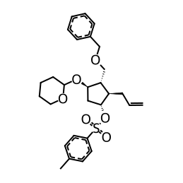 C=CC[C@@H]1[C@@H](COCc2ccccc2)[C@H](OC2CCCCO2)C[C@H]1OS(=O)(=O)c1ccc(C)cc1